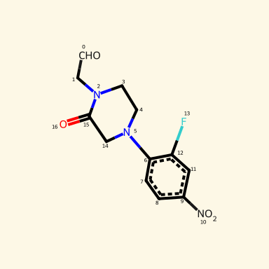 O=CCN1CCN(c2ccc([N+](=O)[O-])cc2F)CC1=O